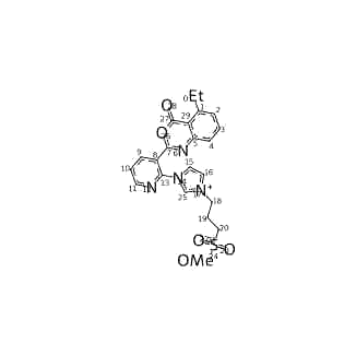 CCc1cccc2nc(-c3cccnc3-n3cc[n+](CCCS(=O)(=O)OC)c3)oc(=O)c12